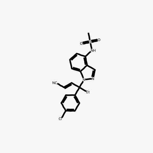 CCC(C=CC#N)(c1ccc(Cl)cc1)n1ncc2c(NS(C)(=O)=O)cccc21